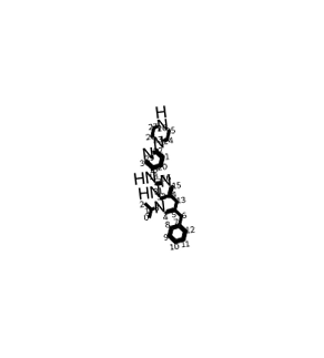 CC(C)N1C=C(Cc2ccccc2)CC2=CN=C(Nc3ccc(N4CCNCC4)nc3)NC21